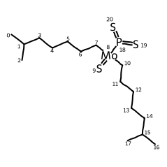 CC(C)CCCC[CH2][Mo](=[S])([CH2]CCCCC(C)C)[P](=S)=S